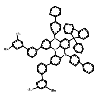 CC(C)(C)c1cc(-c2cccc(-c3ccc4c(c3)B3c5cc(-c6cccc(-c7cc(C(C)(C)C)cc(C(C)(C)C)c7)c6)ccc5N(c5ccc(-c6ccccc6)cc5)c5cc(C6(c7ccccc7)c7ccccc7-c7ccccc76)cc(c53)N4c3ccc(-c4ccccc4)cc3)c2)cc(C(C)(C)C)c1